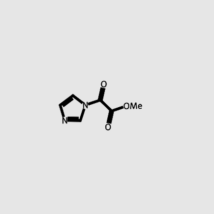 COC(=O)C(=O)n1ccnc1